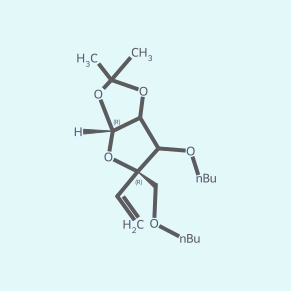 C=C[C@]1(COCCCC)O[C@@H]2OC(C)(C)OC2C1OCCCC